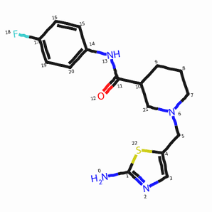 Nc1ncc(CN2CCCC(C(=O)Nc3ccc(F)cc3)C2)s1